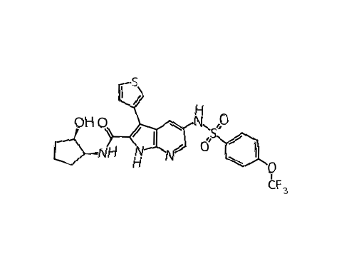 O=C(N[C@H]1CCC[C@H]1O)c1[nH]c2ncc(NS(=O)(=O)c3ccc(OC(F)(F)F)cc3)cc2c1-c1ccsc1